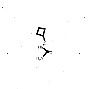 NC(=O)NSC1CCC1